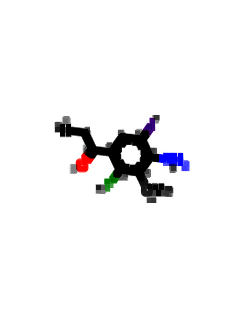 [2H]CC(=O)c1cc(I)c(N)c(OC)c1F